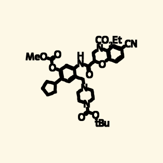 CCOC(=O)N1CC(C(=O)Nc2cc(OC(=O)OC)c(C3CCCC3)cc2CN2CCN(C(=O)OC(C)(C)C)CC2)Oc2ccc(C#N)cc21